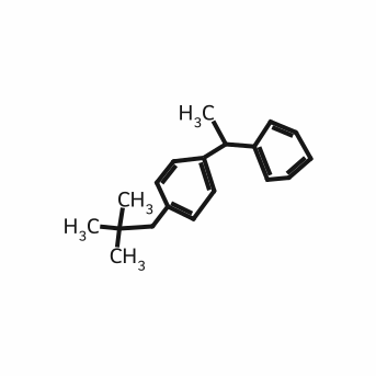 CC(c1ccccc1)c1ccc(CC(C)(C)C)cc1